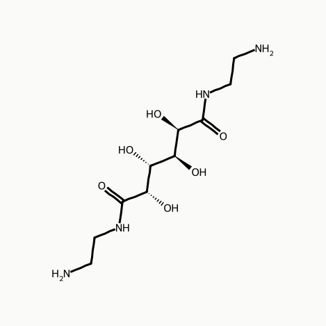 NCCNC(=O)[C@@H](O)[C@H](O)[C@H](O)[C@@H](O)C(=O)NCCN